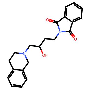 O=C1c2ccccc2C(=O)N1CCC(O)CN1CCc2ccccc2C1